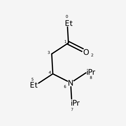 CCC(=O)CC(CC)N(C(C)C)C(C)C